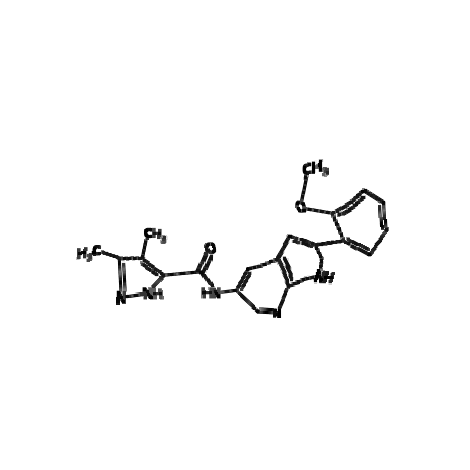 COc1ccccc1-c1cc2cc(NC(=O)c3[nH]nc(C)c3C)cnc2[nH]1